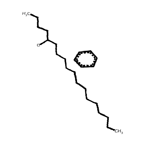 CCCCCCCCCCCCCC(Cl)CCCC.c1ccccc1